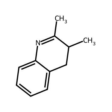 CC1=Nc2ccccc2CC1C